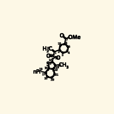 C=C(c1cccc(C(=O)OC)c1)S(=O)(=O)c1sc2c(CCC)cccc2c1C